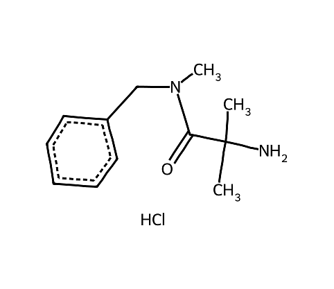 CN(Cc1ccccc1)C(=O)C(C)(C)N.Cl